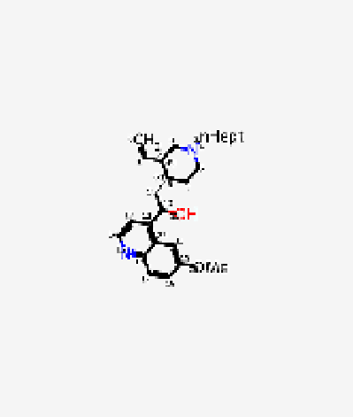 C=C[C@H]1CN(CCCCCCC)CC[C@@H]1CC(O)c1ccnc2ccc(OC)cc12